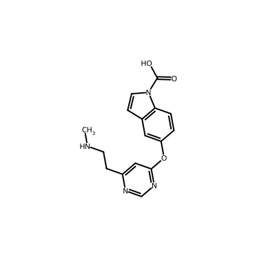 CNCCc1cc(Oc2ccc3c(ccn3C(=O)O)c2)ncn1